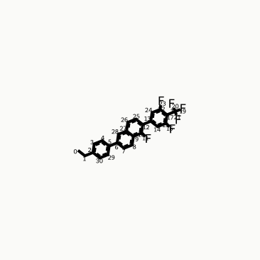 CCc1ccc(-c2ccc3c(F)c(-c4cc(F)c(C(F)(F)F)c(F)c4)ccc3c2)cc1